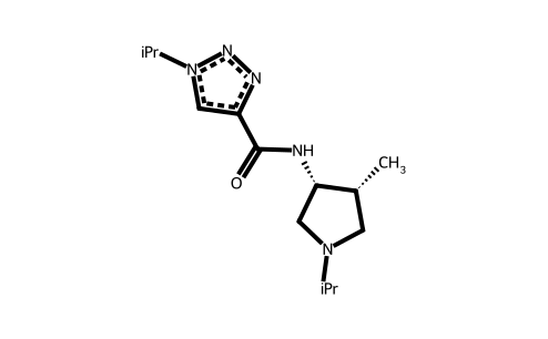 CC(C)N1C[C@@H](C)[C@@H](NC(=O)c2cn(C(C)C)nn2)C1